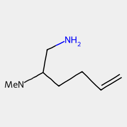 C=CCCC(CN)NC